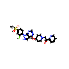 CS(=O)(=O)c1ccc(-n2ncc3c(OC4CCN(CC(=O)c5ccccn5)CC4)ncnc32)c(F)c1